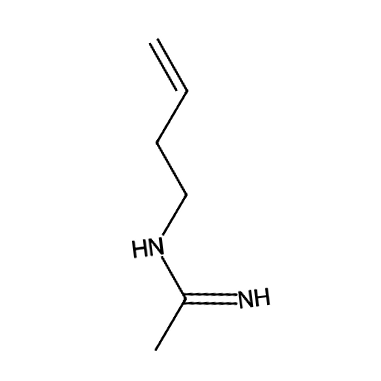 C=CCCNC(C)=N